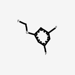 FCOc1cc(F)cc(F)c1